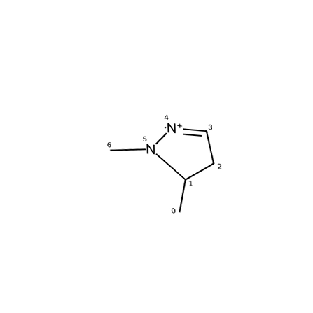 CC1CC=[N+]N1C